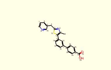 Cc1nc(Cc2cccnc2)sc1-c1cccc(-c2ccc(C(=O)O)cc2)c1